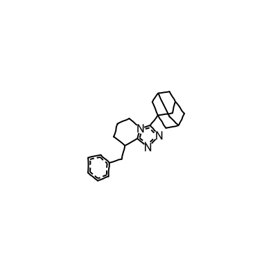 c1ccc(CC2CCCn3c2nnc3C23CC4CC(CC(C4)C2)C3)cc1